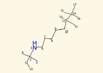 CCC(C)(C)NCCCCCC(C)(C)C(C)(C)C